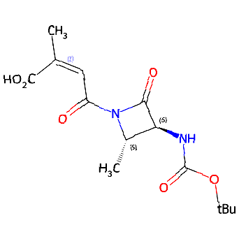 C/C(=C/C(=O)N1C(=O)[C@@H](NC(=O)OC(C)(C)C)[C@@H]1C)C(=O)O